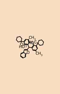 Cc1cc(C(c2cc3ccccc3o2)c2cc(C)cc(C3(C)CCCCC3)c2O)c(O)c(C2(C)CCCCC2)c1